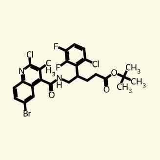 Cc1c(Cl)nc2ccc(Br)cc2c1C(=O)NCC(CCC(=O)OC(C)(C)C)c1c(Cl)ccc(F)c1F